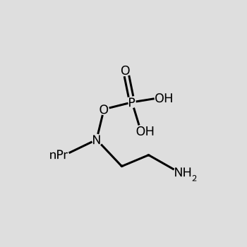 CCCN(CCN)OP(=O)(O)O